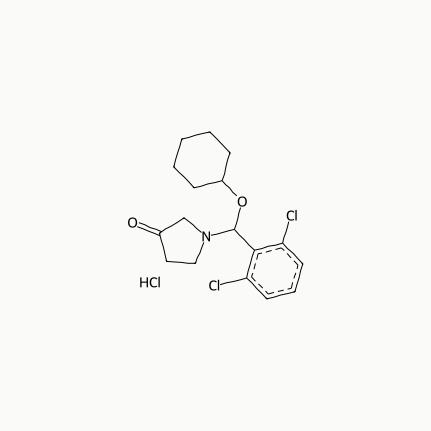 Cl.O=C1CCN(C(OC2CCCCC2)c2c(Cl)cccc2Cl)C1